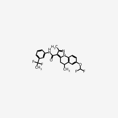 Cc1nn2c(c1C(=O)Nc1cccc(C(C)(F)F)c1)CC(C)c1cc(OC(F)F)ccc1-2